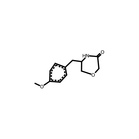 COc1ccc(CC2COCC(=O)N2)cc1